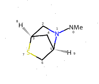 CNN1C[C@H]2C[C@@H]1CS2